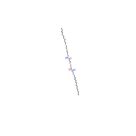 CCCCCCCCCCCCCCCCCCNC(=O)CCCCCCC(=O)NCCCCCCCCCCCCCCCCCC